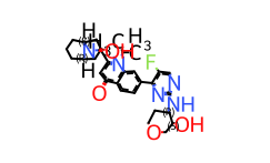 CC(C)n1c(CN2[C@@H]3CCC[C@H]2CC(O)C3)cc(=O)c2ccc(-c3nc(N[C@@H]4CCOC[C@H]4O)ncc3F)cc21